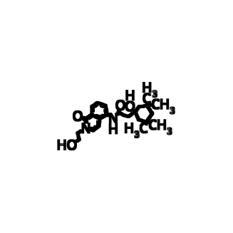 CC1(C)CC(C)(C)CC(O)(CC(=O)Nc2cccc3c(=O)n(CCO)ccc23)C1